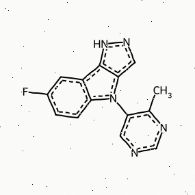 Cc1ncncc1-n1c2ccc(F)cc2c2[nH]ncc21